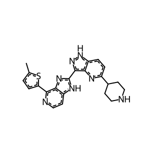 Cc1ccc(-c2nccc3[nH]c(-c4n[nH]c5ccc(C6CCNCC6)nc45)nc23)s1